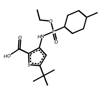 CCOP(=O)(Nc1cc(C(C)(C)C)sc1C(=O)O)C1CCC(C)CC1